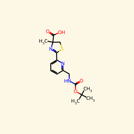 CC(C)(C)OC(=O)NCc1cccc(C2=NC(C)(C(=O)O)CS2)n1